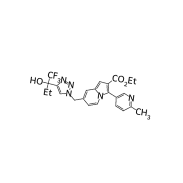 CCOC(=O)c1cc2cc(Cn3cc(C(O)(CC)C(F)(F)F)nn3)ccn2c1-c1ccc(C)nc1